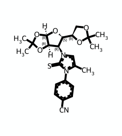 Cc1cn([C@H]2[C@H]3OC(C)(C)O[C@H]3O[C@@H]2[C@H]2COC(C)(C)O2)c(=S)n1-c1ccc(C#N)cc1